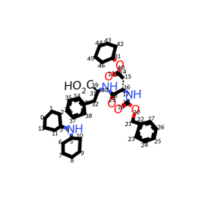 C1CCC(NC2CCCCC2)CC1.O=C(C[C@H](NC(=O)OCc1ccccc1)C(=O)N[C@@H](Cc1ccccc1)C(=O)O)OC1CCCCC1